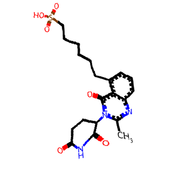 Cc1nc2cccc(CCCCCCS(=O)(=O)O)c2c(=O)n1C1CCC(=O)NC1=O